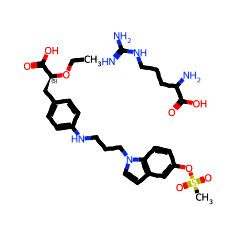 CCO[C@@H](Cc1ccc(NCCCn2ccc3cc(OS(C)(=O)=O)ccc32)cc1)C(=O)O.N=C(N)NCCCC(N)C(=O)O